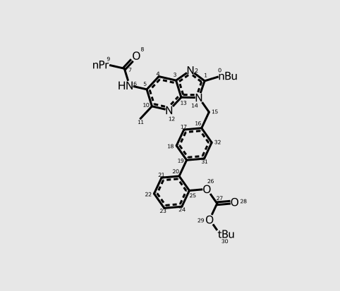 CCCCc1nc2cc(NC(=O)CCC)c(C)nc2n1Cc1ccc(-c2ccccc2OC(=O)OC(C)(C)C)cc1